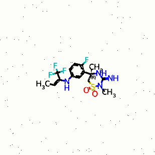 CC=C(Nc1ccc(F)c([C@]2(C)CS(=O)(=O)N(C)C(=N)N2)c1)C(F)(F)F